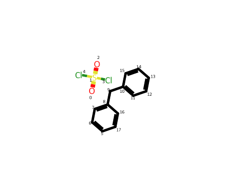 O=S(=O)(Cl)Cl.c1ccc(Cc2ccccc2)cc1